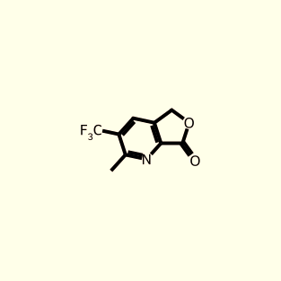 Cc1nc2c(cc1C(F)(F)F)COC2=O